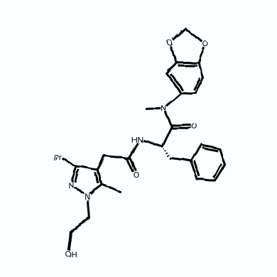 Cc1c(CC(=O)N[C@@H](Cc2ccccc2)C(=O)N(C)c2ccc3c(c2)OCO3)c(C(C)C)nn1CCO